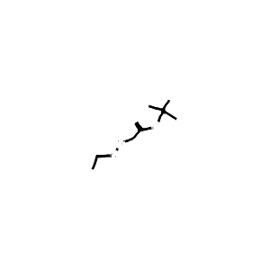 CCNNCC(=O)OC(C)(C)C